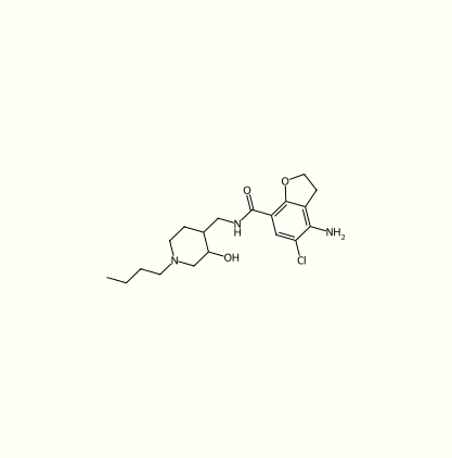 CCCCN1CCC(CNC(=O)c2cc(Cl)c(N)c3c2OCC3)C(O)C1